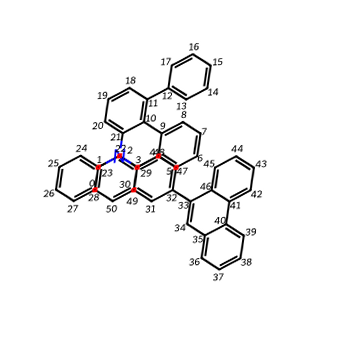 c1ccc(-c2ccccc2-c2c(-c3ccccc3)cccc2N(c2ccccc2)c2ccc(-c3cc4ccccc4c4ccccc34)cc2)cc1